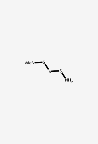 CNSSSN